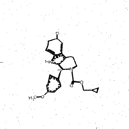 COc1ccc([C@H]2c3[nH]c4c(c3CCN2C(=O)OCC2CC2)=CC(Cl)CC=4)cc1